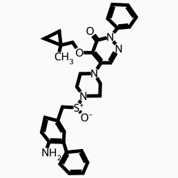 CC1(COc2c(N3CCN([S+]([O-])Cc4ccc(N)c(-c5ccccc5)c4)CC3)cnn(-c3ccccc3)c2=O)CC1